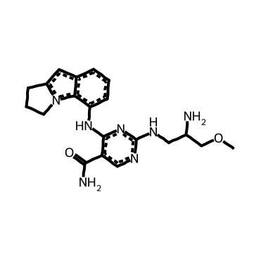 COCC(N)CNc1ncc(C(N)=O)c(Nc2cccc3cc4n(c23)CCC4)n1